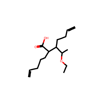 C=CCCCC(C(=O)O)C(CCC=C)C(C)OCC